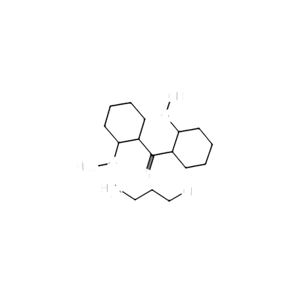 CCCCN.COC1CCCCC1C(=O)C1CCCCC1OC